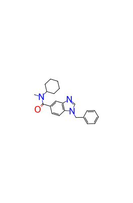 CN(C(=O)c1ccc2c(c1)ncn2Cc1ccccc1)C1CCCCC1